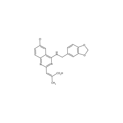 C/C(=C/c1nc(NCc2ccc3c(c2)OCO3)c2cc(Cl)ccc2n1)C(=O)O